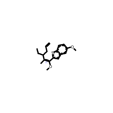 C=CCC(CC)/C(C)=C(/OC)c1cc2cc(OC)ccc2s1